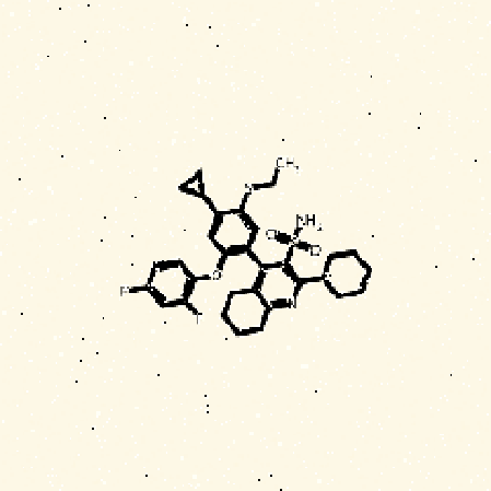 CCSc1cc(-c2c3c(nc(C4CCCCC4)c2S(N)(=O)=O)CCCC3)c(Oc2ccc(F)cc2F)cc1C1CC1